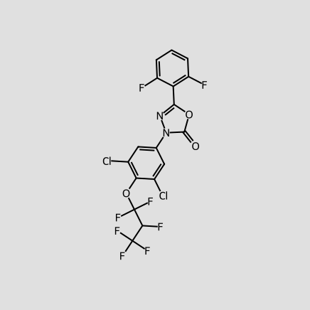 O=c1oc(-c2c(F)cccc2F)nn1-c1cc(Cl)c(OC(F)(F)C(F)C(F)(F)F)c(Cl)c1